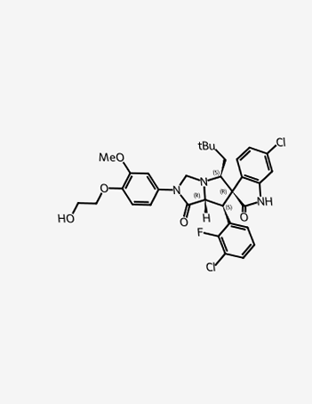 COc1cc(N2CN3[C@@H](CC(C)(C)C)[C@@]4(C(=O)Nc5cc(Cl)ccc54)[C@@H](c4cccc(Cl)c4F)[C@@H]3C2=O)ccc1OCCO